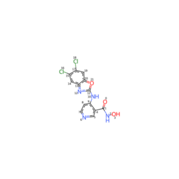 O=C(NO)c1cnccc1Nc1nc2cc(Cl)c(Cl)cc2o1